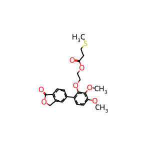 COc1ccc(-c2ccc3c(c2)COC3=O)c(OCCOC(=O)CCSC)c1OC